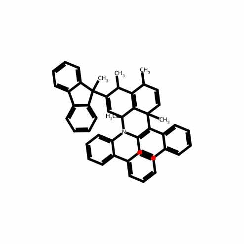 CC1C=CC2(C)C3=C1C(C)C(C1(C)c4ccccc4-c4ccccc41)=CC3(C)N(c1ccccc1-c1ccccc1)c1ccc3ccccc3c12